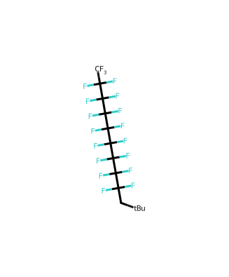 CC(C)(C)CC(F)(F)C(F)(F)C(F)(F)C(F)(F)C(F)(F)C(F)(F)C(F)(F)C(F)(F)C(F)(F)F